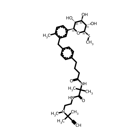 C#CC(C)(C)N(C)CCNC(=O)C(C)(C)NC(=O)CCCc1ccc(Cc2cc([C@@H]3O[C@H](SC)[C@@H](O)[C@H](O)[C@H]3O)ccc2C)cc1